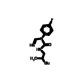 CC(CNC(=O)N(C=N)c1ccc(F)cc1)C(C)(C)C